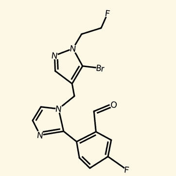 O=Cc1cc(F)ccc1-c1nccn1Cc1cnn(CCF)c1Br